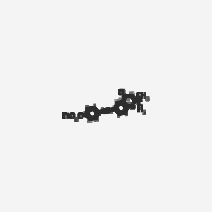 CCOC(=O)c1ccc(C#Cc2ccc3c(c2)C(=O)CC(C)(C)S3)cc1